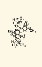 COc1ccc(N(C(=O)OC(C)(C)C)c2cc(N(C(=O)OC(C)(C)C)C3CC3)c3ncc(Br)n3n2)cc1OC